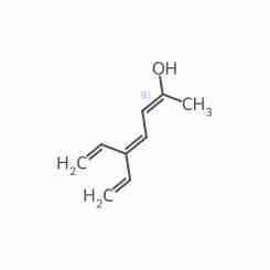 C=CC(C=C)=C/C=C(\C)O